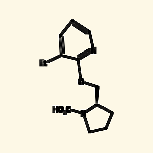 CCc1cccnc1OC[C@H]1CCCN1C(=O)O